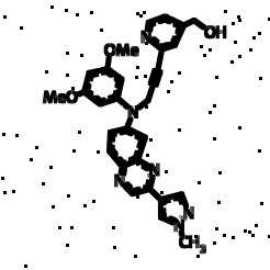 COc1cc(OC)cc(N(CC#Cc2cc(CO)ccn2)c2ccc3ncc(-c4cnn(C)c4)nc3c2)c1